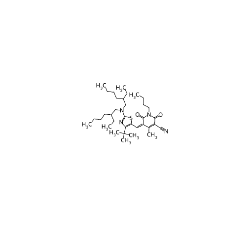 CCCCC(CC)CN(CC(CC)CCCC)c1nc(C(C)(C)C)c(/C=C2\C(=O)N(CCCC)C(=O)C(C#N)=C2C)s1